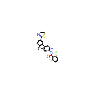 Cc1ccc(-c2nccs2)cc1-c1ccc(NC(=O)c2c(F)cccc2F)cc1